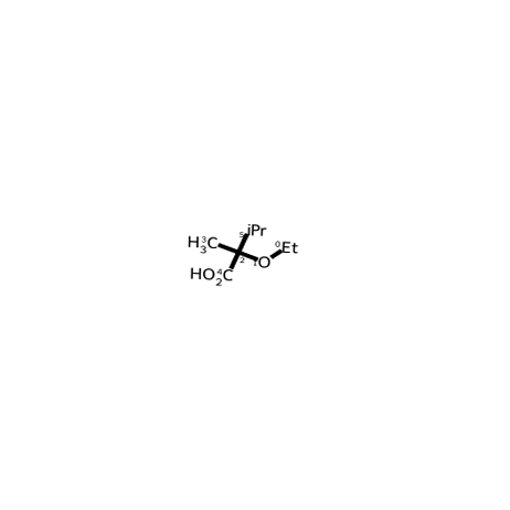 CCOC(C)(C(=O)O)C(C)C